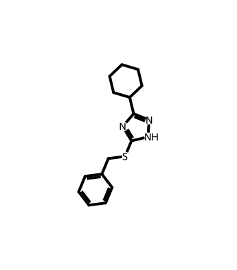 c1ccc(CSc2nc(C3CCCCC3)n[nH]2)cc1